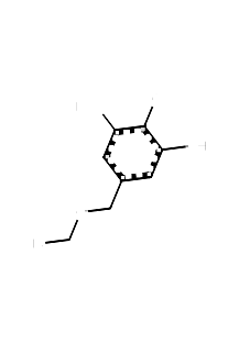 Cc1cc(COCS)cc(C)c1C